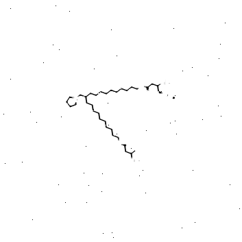 C=C=C=CC(CCCC)CC(=O)OCCCCCCCCCCC(CCCCCCCCCCOC(=O)CC(C)CCCC)CN1CCCC1